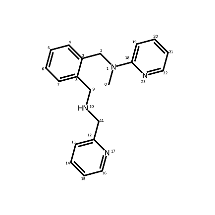 CN(Cc1ccccc1CNCc1ccccn1)c1ccccn1